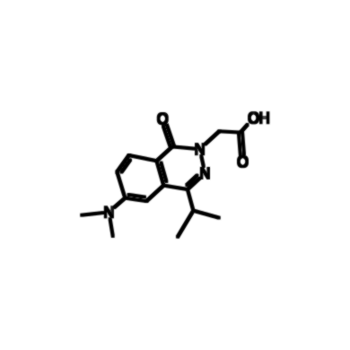 CC(C)c1nn(CC(=O)O)c(=O)c2ccc(N(C)C)cc12